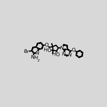 CC1(COc2ccc3cc(Br)c(N)nc3c2)CC(n2ccc3c(Oc4ccccc4)ncnc32)C(O)C1(C)O